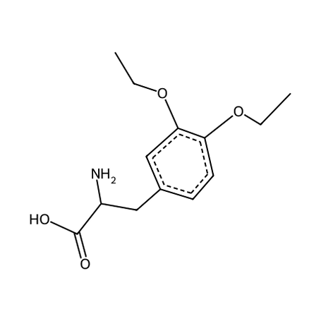 CCOc1ccc(CC(N)C(=O)O)cc1OCC